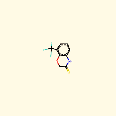 FC(F)(F)c1cccc2c1OCC(=S)N2